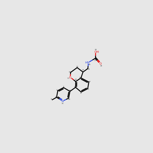 Cc1ccc(-c2cccc3c2OCCC3CNC(=O)O)cn1